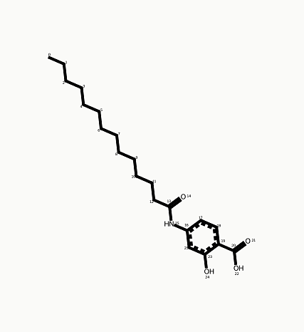 CCCCCCCCCCCCCC(=O)Nc1ccc(C(=O)O)c(O)c1